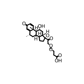 C[C@H]1C[C@@H]2[C@H]([C@H](O)C[C@@]3(C)[C@H]2CC[C@]3(O)C(=O)COOCCC(=O)O)[C@@]2(C)C=CC(=O)C=C12